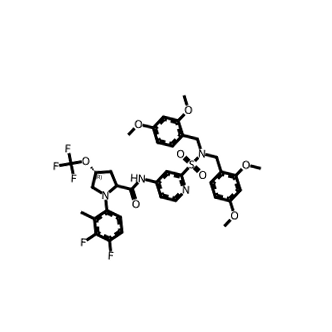 COc1ccc(CN(Cc2ccc(OC)cc2OC)S(=O)(=O)c2cc(NC(=O)C3C[C@@H](OC(F)(F)F)CN3c3ccc(F)c(F)c3C)ccn2)c(OC)c1